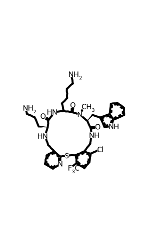 CN1C(=O)C(CCCCN)NC(=O)[C@H](CCCN)NCc2cccnc2Sc2c(C(F)(F)F)ccc(Cl)c2CNC(=O)[C@@H]1Cc1c[nH]c2ccccc12